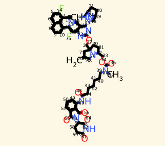 C#Cc1c(F)ccc2cccc(-c3ncc4c(N5CC6CCC(C5)N6)nc(OCC56CCC(COC(=O)N(C)CCCCCCC(=O)Nc7cccc8c7C(=O)N(C7CCC(=O)NC7=O)C8=O)N5CC(=C)C6)nc4c3F)c12